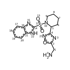 NCc1nc(C2CCCCN2S(=O)(=O)c2nc3ccccc3[nH]2)no1